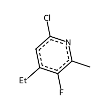 CCc1cc(Cl)nc(C)c1F